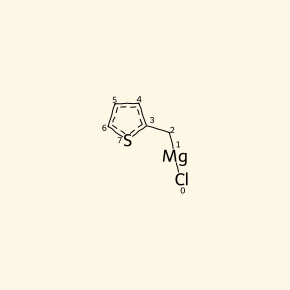 [Cl][Mg][CH2]c1cccs1